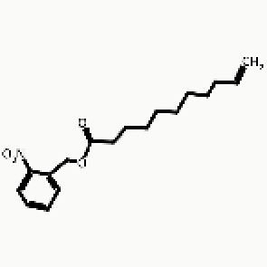 C=CCCCCCCCCC(=O)OCc1ccccc1[N+](=O)[O-]